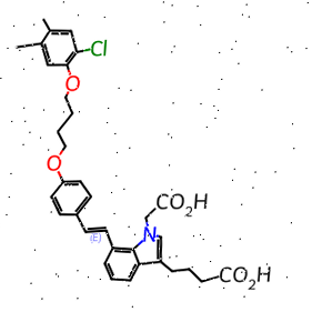 Cc1cc(Cl)c(OCCCCOc2ccc(/C=C/c3cccc4c(CCCC(=O)O)cn(CC(=O)O)c34)cc2)cc1C